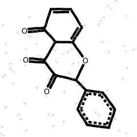 O=C1C=CC=C2OC(c3ccccc3)C(=O)C(=O)C12